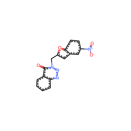 O=c1c2ccccc2nnn1Cc1cc2cc([N+](=O)[O-])ccc2o1